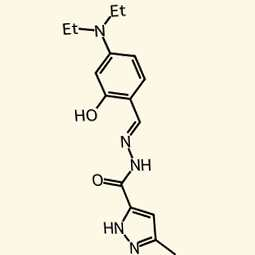 CCN(CC)c1ccc(/C=N/NC(=O)c2cc(C)n[nH]2)c(O)c1